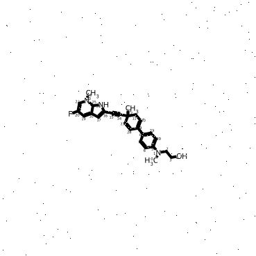 CN(CCO)c1ccc(C2=CCC(C)(C#CC3=CC4=CC(F)=CN(C)C4N3)C=C2)cc1